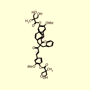 COc1cc(/C=C/C(=O)C(Cc2ccccc2)(Cc2ccccc2)C(=O)/C=C/c2ccc(OC(=O)C(C)(CO)CO)c(OC)c2)ccc1OC(=O)C(C)(CO)CO